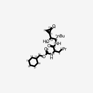 CCCC[C@H](NC(=O)C(CC(C)C)NC(=O)OCC1CCCCC1)C(O)c1cc1=O